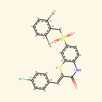 O=C1Nc2ccc(S(=O)(=O)Cc3c(Br)cccc3Br)cc2SC1=Cc1ccc(F)cc1